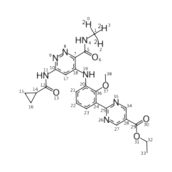 [2H]C([2H])([2H])NC(=O)c1nnc(NC(=O)C2CC2)cc1Nc1cccc(-c2ncc(C(=O)OCC)cn2)c1OC